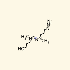 CN(CCCO)/N=N/N(C)CCCN=[N+]=[N-]